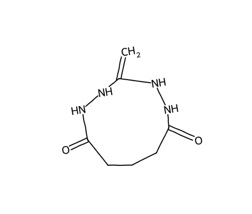 C=C1NNC(=O)CCCC(=O)NN1